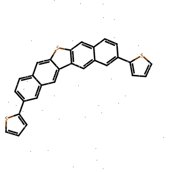 c1csc(-c2ccc3cc4sc5cc6ccc(-c7cccs7)cc6cc5c4cc3c2)c1